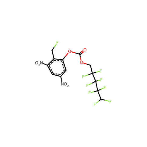 O=C(OCC(F)(F)C(F)(F)C(F)(F)C(F)F)Oc1cc([N+](=O)[O-])cc([N+](=O)[O-])c1CF